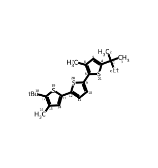 CCC(C)(C)c1cc(C)c(-c2ccc(-c3cc(C)c(C(C)(C)C)s3)s2)s1